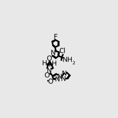 COc1nn(-c2ncccn2)cc1C(=O)N1C[C@@H]2C(Oc3cc(C(C)(C)N)c(Cl)c(-c4ccc(F)cc4)n3)[C@@H]2C1